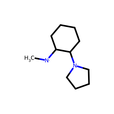 C[N]C1CCCCC1N1CCCC1